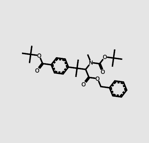 CN(C(=O)OC(C)(C)C)C(C(=O)OCc1ccccc1)C(C)(C)c1ccc(C(=O)OC(C)(C)C)cc1